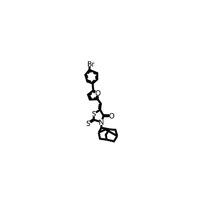 O=C1C(=Cc2ccc(-c3ccc(Br)cc3)o2)SC(=S)N1C1C2CC3CC(C2)CC1C3